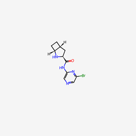 O=C(Nc1cncc(Br)n1)[C@@H]1C[C@H]2CC[C@H]2N1